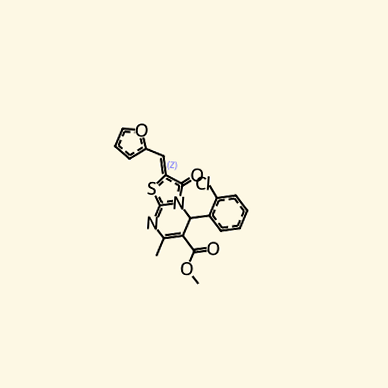 COC(=O)C1=C(C)N=c2s/c(=C\c3ccco3)c(=O)n2C1c1ccccc1Cl